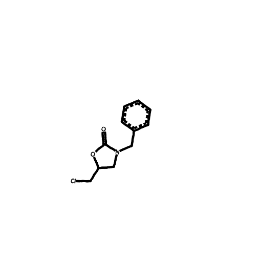 O=C1OC(CCl)CN1Cc1ccccc1